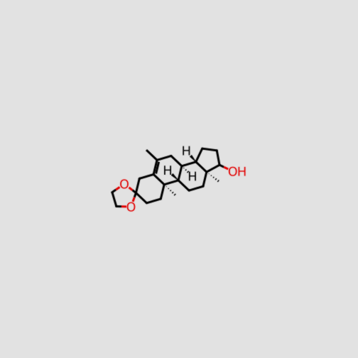 CC1=C2CC3(CC[C@]2(C)[C@H]2CC[C@]4(C)C(O)CC[C@H]4[C@@H]2C1)OCCO3